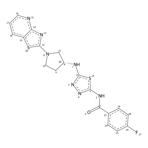 O=C(Nc1nnc(N[C@@H]2CCN(c3nc4ncccc4s3)C2)s1)c1ccc(F)cc1